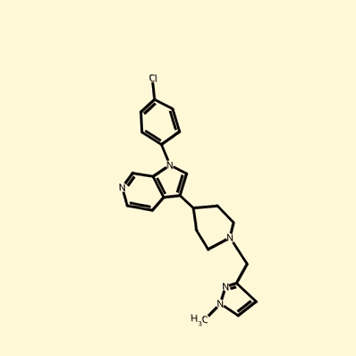 Cn1ccc(CN2CCC(c3cn(-c4ccc(Cl)cc4)c4cnccc34)CC2)n1